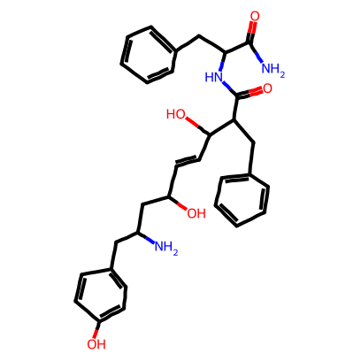 NC(=O)C(Cc1ccccc1)NC(=O)C(Cc1ccccc1)C(O)C=CC(O)CC(N)Cc1ccc(O)cc1